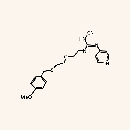 COc1ccc(CSCCOCCN/C(=N\c2ccncc2)NC#N)cc1